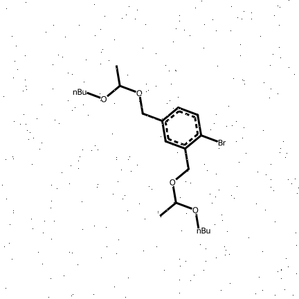 CCCCOC(C)OCc1ccc(Br)c(COC(C)OCCCC)c1